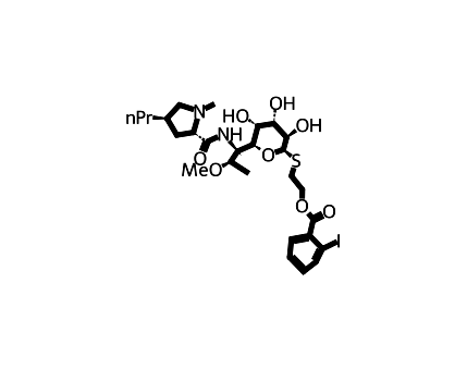 CCC[C@@H]1C[C@@H](C(=O)N[C@@H]([C@H]2O[C@H](SCCOC(=O)c3ccccc3I)[C@H](O)[C@@H](O)[C@H]2O)[C@@H](C)OC)N(C)C1